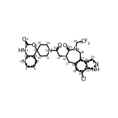 O=C1Nc2ncccc2C2(CCN(C(=O)C[C@@H]3Cc4cc(Cl)c5[nH]ncc5c4CN(CC(F)(F)F)C3=O)CC2)O1